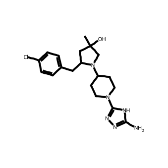 CC1(O)CC(Cc2ccc(Cl)cc2)N(C2CCN(c3nnc(N)[nH]3)CC2)C1